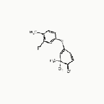 Cc1ccc(OC2=CC(C)(C)C(Cl)C=C2)cc1F